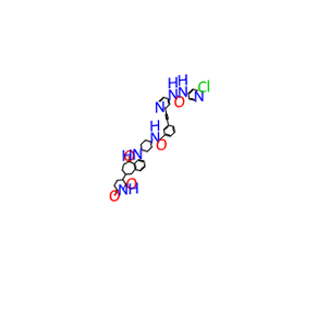 O=C1CCC(C2CCC(=O)c3c(cccc3N[C@H]3CC[C@@H](NC(=O)c4cccc(C#Cc5cc(NC(=O)Nc6ccnc(Cl)c6)ccn5)c4)CC3)C2)C(=O)N1